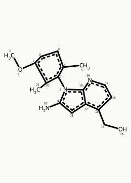 COc1ccc(C)c(-n2c(N)cc3c(CO)ccnc32)c1C